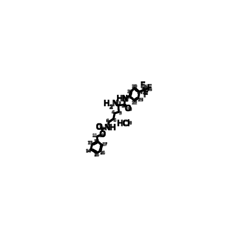 Cl.N[C@@H](CCCCNC(=O)OCc1ccccc1)C(=O)Nc1ccc(C(F)(F)F)cc1